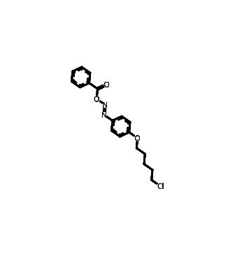 O=C(ON=Nc1ccc(OCCCCCCl)cc1)c1ccccc1